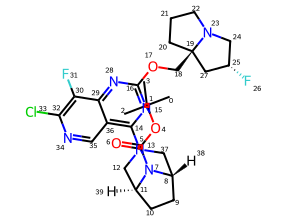 CC(C)(C)OC(=O)N1[C@H]2CC[C@H]1CN(c1nc(OC[C@@]34CCCN3C[C@H](F)C4)nc3c(F)c(Cl)ncc13)C2